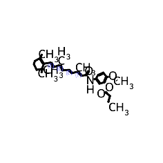 CCCC(=O)Oc1cc(NC(=O)/C=C(C)/C=C/C=C(C)/C=C/C2=C(C)CCCC2(C)C)ccc1OC